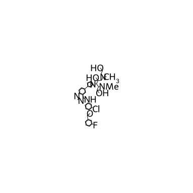 CNC(CO)C(C(O)CN(C)CCO)n1ccc(-c2ccc3ncnc(Nc4ccc(OCc5cccc(F)c5)c(Cl)c4)c3c2)c1